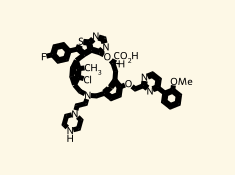 COc1ccccc1-c1ccnc(COc2ccc3cc2C[C@H](C(=O)O)Oc2ncnc4sc(-c5ccc(F)cc5)c(c24)-c2ccc(c(Cl)c2C)CN(CCN2CCNCC2)C3)n1